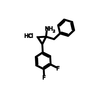 Cl.NC1(Cc2ccccc2)CC1c1ccc(F)c(F)c1